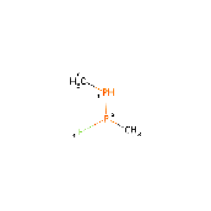 CPP(C)F